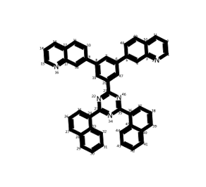 c1cnc2cc(-c3cc(-c4ccc5cccnc5c4)cc(-c4nc(-c5cccc6ccccc56)nc(-c5cccc6ccccc56)n4)c3)ccc2c1